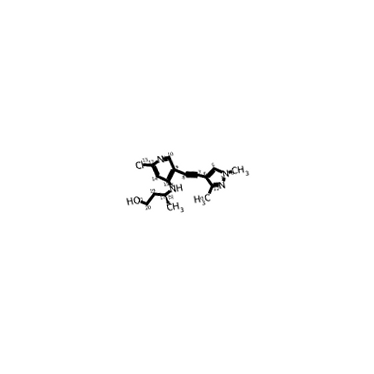 Cc1nn(C)cc1C#Cc1cnc(Cl)cc1N[C@@H](C)CCO